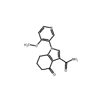 COc1ccncc1-n1cc(C(N)=O)c2c1CCCC2=O